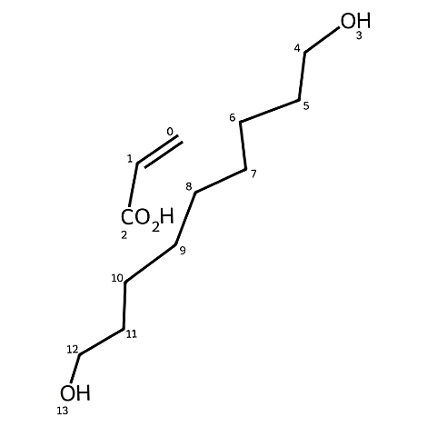 C=CC(=O)O.OCCCCCCCCCO